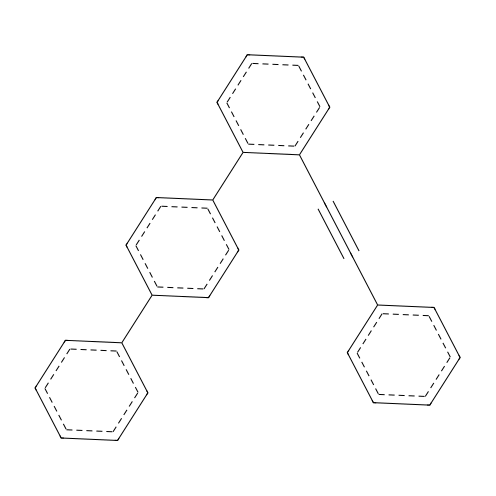 C(#Cc1ccccc1-c1ccc(-c2ccccc2)cc1)c1ccccc1